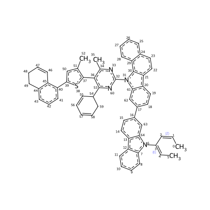 C/C=C\C(=C/C)n1c2ccccc2c2ccc(-c3ccc4c5ccc6ccccc6c5n(-c5nc(C)c(-c6sc(-c7cccc8c7C=CCC8)cc6C)c(C6C=CC=CC6)n5)c4c3)cc21